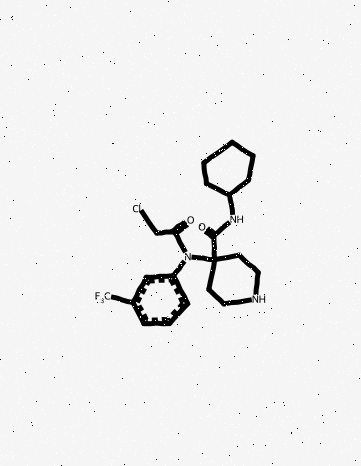 O=C(CCl)N(c1cccc(C(F)(F)F)c1)C1(C(=O)NC2CCCCC2)CCNCC1